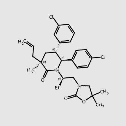 C=CC[C@@]1(C)C[C@H](c2cccc(Cl)c2)[C@@H](c2ccc(Cl)cc2)N([C@H](CC)CN2CC(C)(C)OC2=O)C1=O